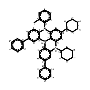 Cc1ccccc1N1c2ccc(-c3ccccc3)cc2B2c3ccc(-c4ccccc4)cc3N(C3CCCCC3)c3cc(C4CCCCC4)cc1c32